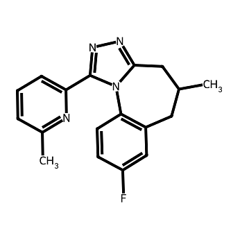 Cc1cccc(-c2nnc3n2-c2ccc(F)cc2CC(C)C3)n1